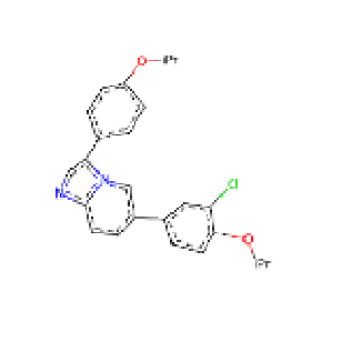 CC(C)Oc1ccc(-c2cnc3ccc(-c4ccc(OC(C)C)c(Cl)c4)cn23)cc1